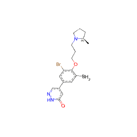 Bc1cc(-c2cn[nH]c(=O)c2)cc(Br)c1OCCCN1CCC[C@H]1C